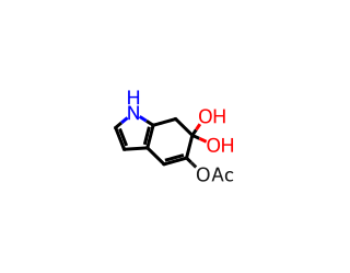 CC(=O)OC1=Cc2cc[nH]c2CC1(O)O